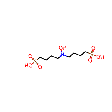 O=S(=O)(O)CCCCN(O)CCCCS(=O)(=O)O